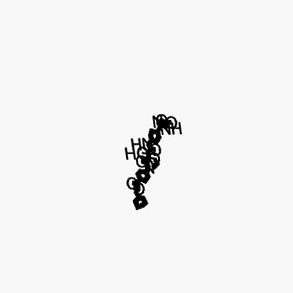 O=C(OCc1ccccc1)c1ccc(N2CCO[C@H]([C@@H](O)C(=O)Nc3ccc(-c4noc(=O)[nH]4)cc3)C2=O)cc1